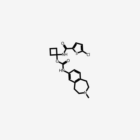 CN1CCc2ccc(NC(=O)OC3(NC(=O)c4ccc(Cl)s4)CCC3)cc2CC1